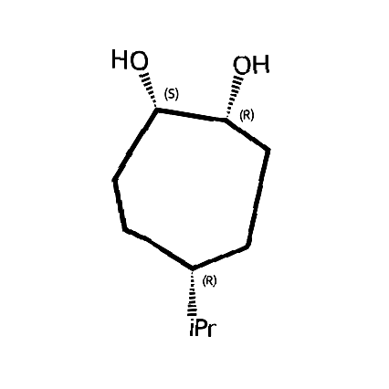 CC(C)[C@H]1CC[C@@H](O)[C@@H](O)CC1